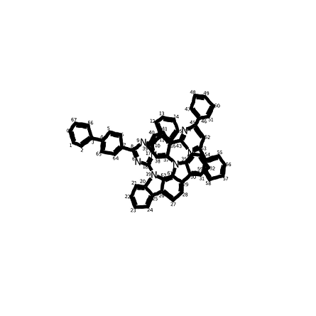 c1ccc(-c2ccc(-c3nc(-c4ccccc4)nc(-n4c5ccccc5c5ccc6c7ccccc7n(-c7ccccc7-c7nc(-c8ccccc8)cc(-c8ccccc8)n7)c6c54)n3)cc2)cc1